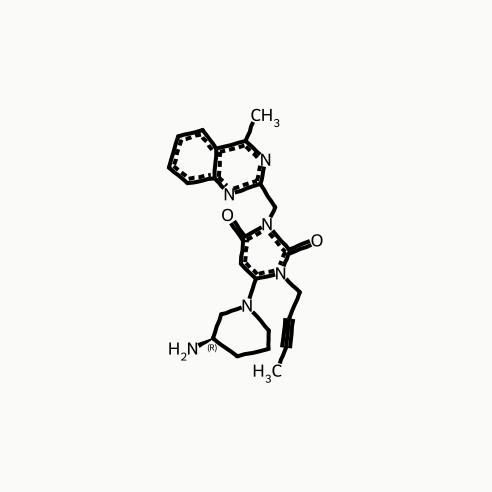 CC#CCn1c(N2CCC[C@@H](N)C2)cc(=O)n(Cc2nc(C)c3ccccc3n2)c1=O